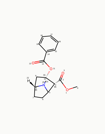 COC(=O)[C@@H]1C2CC[C@H](C[C@@H]1OC(=O)c1ccccc1)N2C